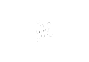 CC(C)(C)c1ccc(Nc2cc3c(cc2-c2c4c5c(c6cc7c(cc6n5-c5cc6c(cc5B4)-c4ccccc4C6(C)C)C(C)(C)CCC7(C)C)c4oc5ccccc5c24)C(C)(C)c2ccccc2-3)cc1